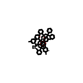 CCN(c1cccc(C)c1)C(CC(c1cc[c]c(C)c1)(c1ccccn1)c1ccccc1C)(CC(CCC(CC(c1ccccc1)(c1ccccc1)c1ccccc1C)(c1ccccc1C)N(C)C)(c1ccccc1C)N1CCOCC1)c1ccccc1C